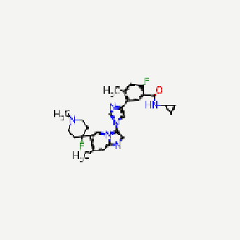 Cc1cc(F)c(C(=O)NC2CC2)cc1-c1cn(-c2cnc3cc(C)c(C4(F)CCN(C)CC4)cn23)cn1